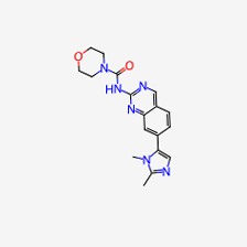 Cc1ncc(-c2ccc3cnc(NC(=O)N4CCOCC4)nc3c2)n1C